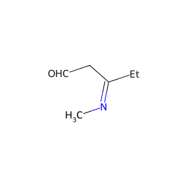 CCC(CC=O)=NC